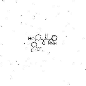 O=C(Nc1n[nH]c2ccccc12)N1CCCC(O)(c2ccc(Cl)c(C(F)(F)F)c2)C1